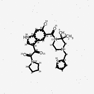 CC1(C)CN(Cc2cccs2)CCN1C(=O)c1cc2c(C(=O)C(=O)N3CCCC3)c[nH]c2cc1Cl